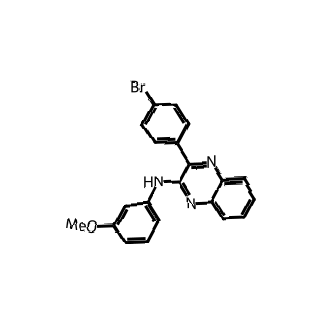 COc1cccc(Nc2nc3ccccc3nc2-c2ccc(Br)cc2)c1